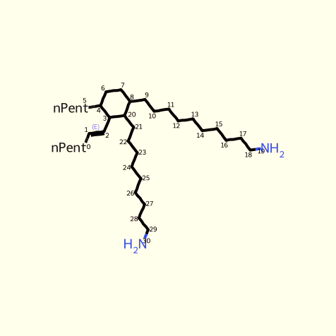 CCCCC/C=C/C1C(CCCCC)CCC(CCCCCCCCCCN)C1CCCCCCCCCN